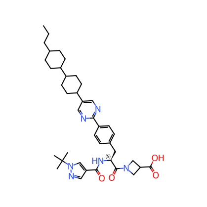 CCCC1CCC(C2CCC(c3cnc(-c4ccc(C[C@H](NC(=O)c5cnn(C(C)(C)C)c5)C(=O)N5CC(C(=O)O)C5)cc4)nc3)CC2)CC1